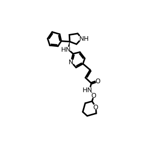 O=C(/C=C/c1ccc(N[C@@]2(c3ccccc3)CCNC2)nc1)NOC1CCCCO1